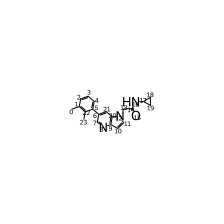 Cc1cccc(-c2cnc3ccn(CC(=O)NC4CC4)c3c2)c1C